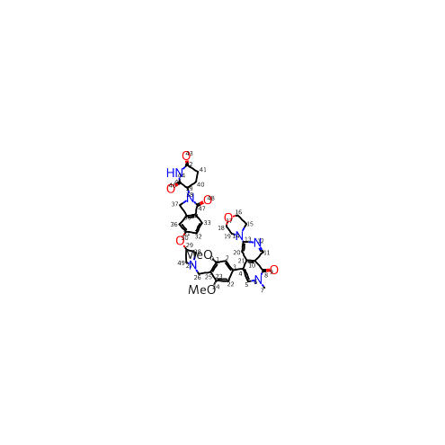 COc1cc(-c2cn(C)c(=O)c3cnc(N4CCOCC4)cc23)cc(OC)c1CN1CC(Oc2ccc3c(c2)CN(C2CCC(=O)NC2=O)C3=O)C1